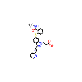 CNC(=O)c1ccccc1Sc1ccc2c(/C=C/c3ccccn3)nn(CCC(=O)O)c2c1